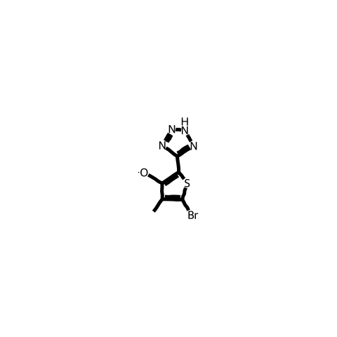 Cc1c(Br)sc(-c2nn[nH]n2)c1[O]